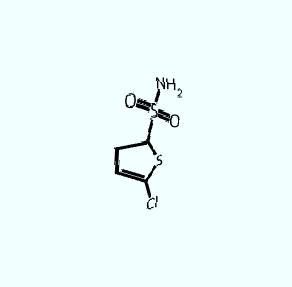 NS(=O)(=O)C1CC=C(Cl)S1